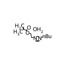 C=C(C)C(=O)OCCN1C=CN(CCCC)C1.O